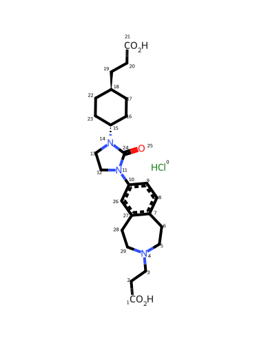 Cl.O=C(O)CCN1CCc2ccc(N3CCN([C@H]4CC[C@H](CCC(=O)O)CC4)C3=O)cc2CC1